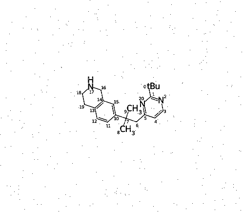 CC(C)(C)c1nccc(CC(C)(C)c2ccc3c(c2)CNCC3)n1